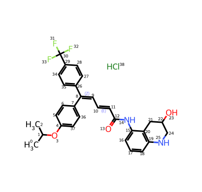 CC(C)Oc1ccc(/C(=C\C=C\C(=O)Nc2cccc3c2CC(O)CN3)c2ccc(C(F)(F)F)cc2)cc1.Cl